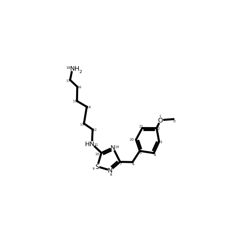 COc1ccc(Cc2nsc(NCCCCCCN)n2)cc1